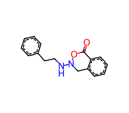 O=C1ON(NCCc2ccccc2)Cc2ccccc21